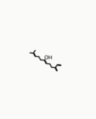 C=CC(=C)CC/C=C(\O)CCC=C(C)C